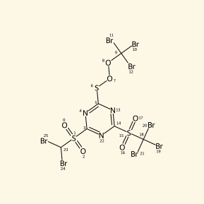 O=S(=O)(c1nc(SOOC(Br)(Br)Br)nc(S(=O)(=O)C(Br)(Br)Br)n1)C(Br)Br